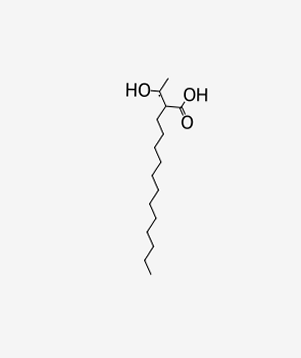 CCCCCCCCCCCCC([C](C)O)C(=O)O